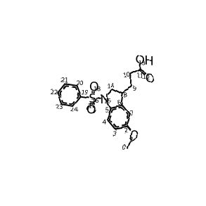 COc1ccc2c(c1)C(CCC(=O)O)CN2S(=O)(=O)c1ccccc1